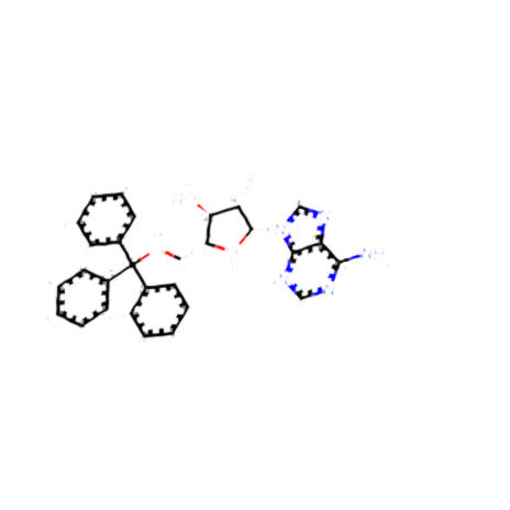 Nc1ncnc2c1ncn2[C@@H]1O[C@H](COC(c2ccccc2)(c2ccccc2)c2ccccc2)[C@@H](O)[C@@H]1F